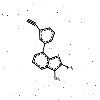 C#Cc1cccc(-c2cccc3c(N)c(N)sc23)c1